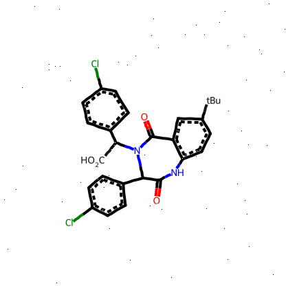 CC(C)(C)c1ccc2c(c1)C(=O)N(C(C(=O)O)c1ccc(Cl)cc1)C(c1ccc(Cl)cc1)C(=O)N2